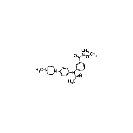 CON(C)C(=O)c1ccc2nc(C)n(-c3ccc(N4CCN(C)CC4)cc3)c2c1